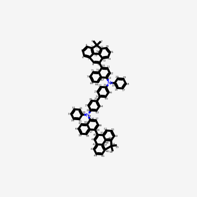 CC1(C)c2cccc3cc(-c4ccc(N(c5ccccc5)c5ccc(-c6ccc(N(c7ccccc7)c7ccc(-c8cc9cccc%10c9c9c(cccc89)C%10(C)C)c8ccccc78)cc6)cc5)c5ccccc45)c4cccc1c4c23